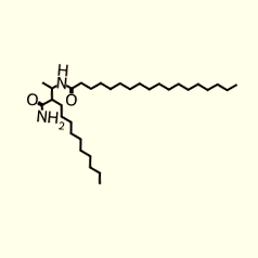 CCCCCCCCCCCCCCCCCC(=O)NC(C)C(CCCCCCCCCC)C(N)=O